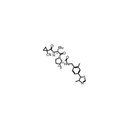 Cc1cc(C2SC=NC2C)ccc1CNC(=O)[C@@H]1[C@@H](F)CCN1C(=O)[C@@H](NC(=O)C1(C#N)CC1)C(C)(C)C